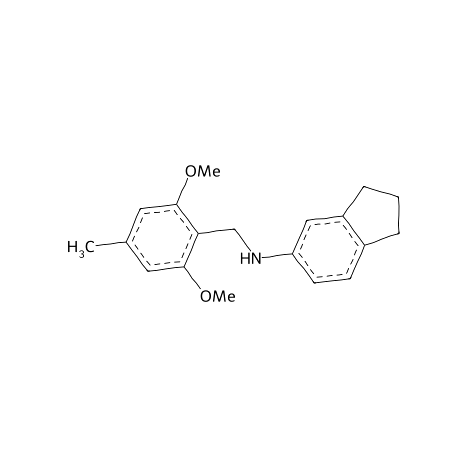 COc1cc(C)cc(OC)c1CNc1ccc2c(c1)CCC2